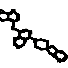 C1=CN=C2C(Sc3ccnc4c3CCO4)=CN=C(N3CCC4(CC3)Cc3cccnc3C4)N2C1